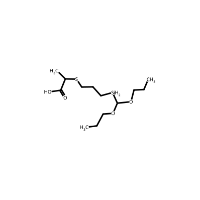 CCCOC(OCCC)[SiH2]CCCSC(C)C(=O)O